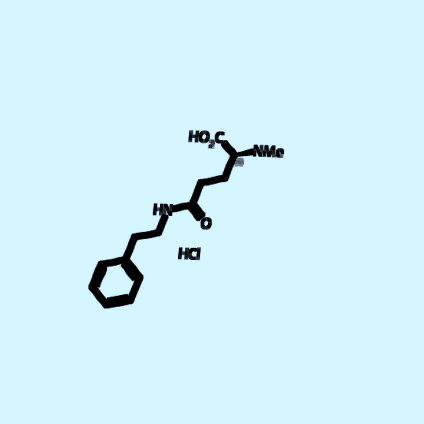 CN[C@@H](CCC(=O)NCCc1ccccc1)C(=O)O.Cl